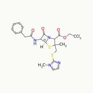 Cn1ccnc1SCC1(C)S[C@H]2C(NC(=O)Cc3ccccc3)C(=O)N2C1C(=O)OCC(Cl)(Cl)Cl